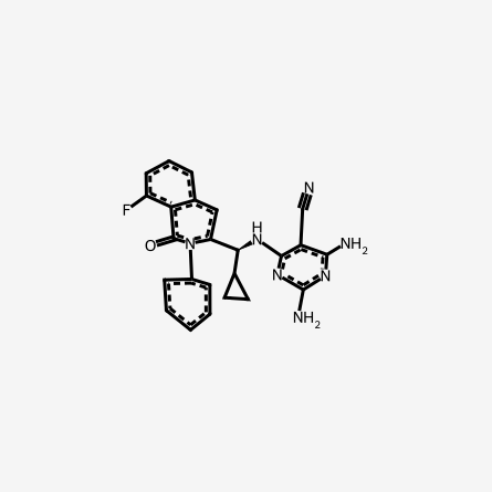 N#Cc1c(N)nc(N)nc1N[C@H](c1cc2cccc(F)c2c(=O)n1-c1ccccc1)C1CC1